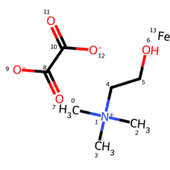 C[N+](C)(C)CCO.O=C([O-])C(=O)[O-].[Fe]